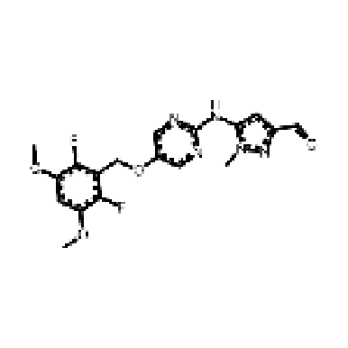 COc1cc(OC)c(F)c(COc2cnc(Nc3cc(C=O)nn3C)nc2)c1F